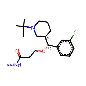 CNC(=O)CCO[C@@H](c1cccc(Cl)c1)[C@@H]1CCCN(C(C)(C)C)C1